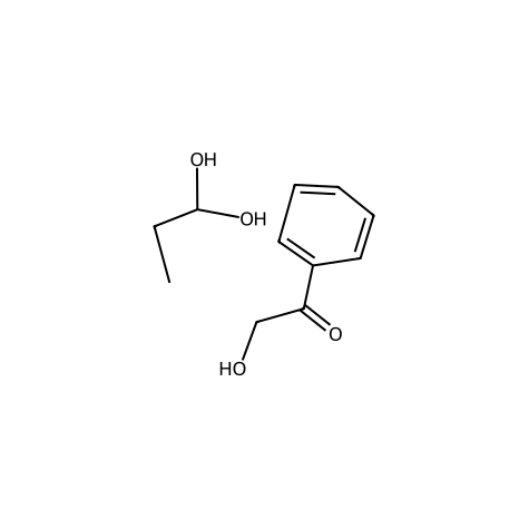 CCC(O)O.O=C(CO)c1ccccc1